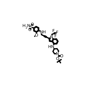 COc1cc(S(N)(=O)=O)ccc1NCC#Cc1cc2c(NC3CCN(C(=O)OC(C)(C)C)CC3)cccc2n1CC(F)(F)F